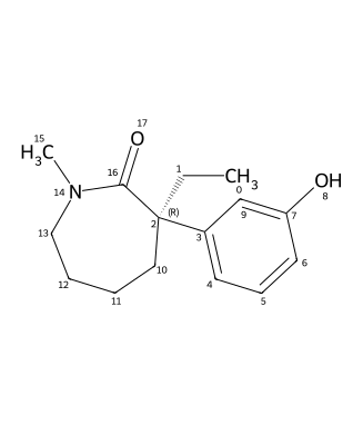 CC[C@]1(c2cccc(O)c2)CCCCN(C)C1=O